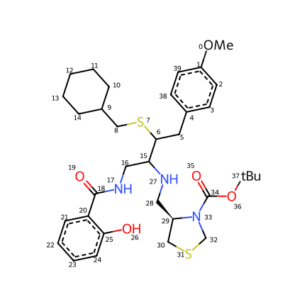 COc1ccc(CC(SCC2CCCCC2)C(CNC(=O)c2ccccc2O)NC[C@@H]2CSCN2C(=O)OC(C)(C)C)cc1